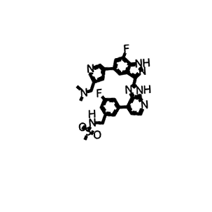 CN(C)Cc1cncc(-c2cc(F)c3[nH]nc(-c4nc5c(-c6cc(F)cc(CNS(C)(=O)=O)c6)ccnc5[nH]4)c3c2)c1